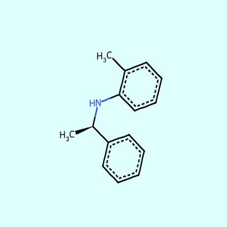 Cc1ccccc1N[C@H](C)c1ccccc1